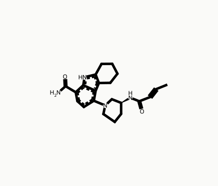 CC#CC(=O)N[C@H]1CCCN(c2ccc(C(N)=O)c3[nH]c4c(c23)CCCC4)C1